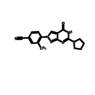 Cc1cc(C#N)ccc1-n1cc2c(=O)[nH]c(N3CCCC3)nc2n1